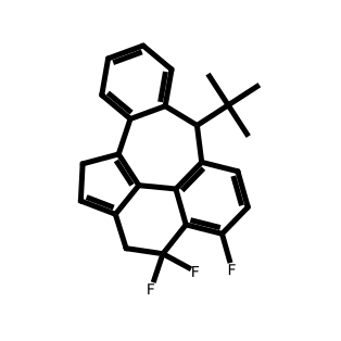 CC(C)(C)C1c2ccccc2C2=C3C(=CC2)CC(F)(F)c2c(F)ccc1c23